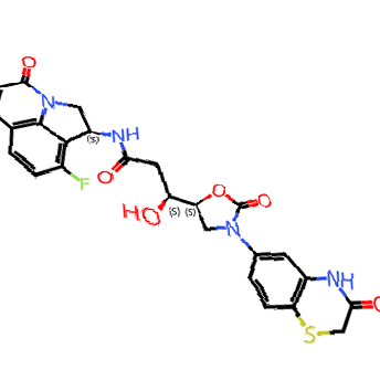 O=C1CSc2ccc(N3C[C@@H]([C@@H](O)CC(=O)N[C@@H]4Cn5c(=O)ccc6ccc(F)c4c65)OC3=O)cc2N1